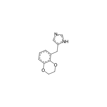 c1cc(Cc2cnc[nH]2)c2c(c1)OCCO2